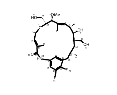 CO[C@H]1/C(C)=C/[C@H](C)[C@@H](O)[C@@H](CO)C[C@H](C)Cc2cc(cc(F)c2F)NC(=O)/C(C)=C/CC[C@@H]1CO